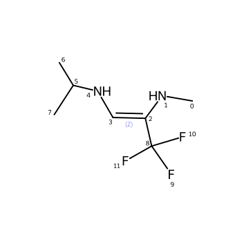 CN/C(=C\NC(C)C)C(F)(F)F